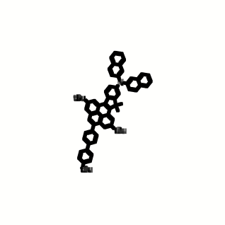 CC(C)(C)c1ccc(-c2ccc(-c3cc4cc(C(C)(C)C)cc5c6c(c7cc(C(C)(C)C)cc3c7c45)C(C)(C)c3cc(N(c4ccc5ccccc5c4)c4ccc5ccccc5c4)ccc3-6)cc2)cc1